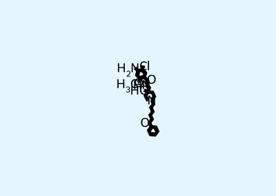 COc1cc(N)c(Cl)cc1C(=O)NCC1(O)CCN(CCCCCC(=O)c2ccccc2)CC1